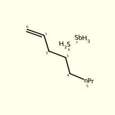 C=CCCCCCC.S.[SbH3]